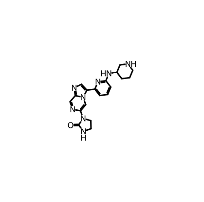 O=C1NCCN1c1cn2c(-c3cccc(N[C@@H]4CCCNC4)n3)cnc2cn1